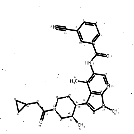 Cc1c(NC(=O)c2cccc(C#N)c2)cnc2c1c([C@@H]1CCN(C(=O)CC3CC3)C[C@@H]1C)cn2C